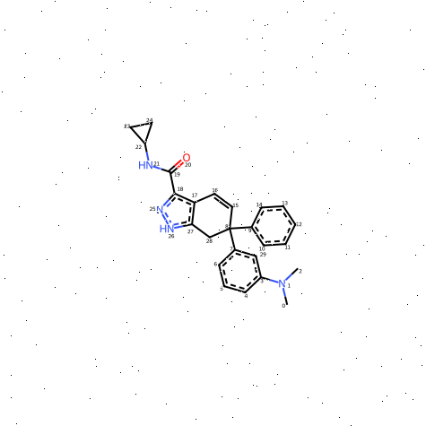 CN(C)c1cccc(C2(c3ccccc3)C=Cc3c(C(=O)NC4CC4)n[nH]c3C2)c1